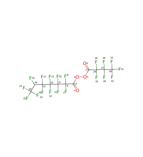 O=C(OOC(=O)C(F)(F)C(F)(F)C(F)(F)C(F)(F)C(F)C(F)(F)F)C(F)(F)C(F)(F)C(F)(F)F